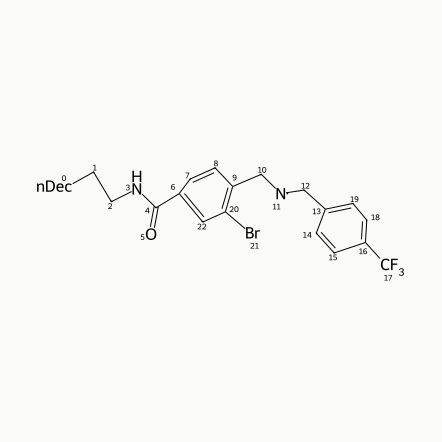 CCCCCCCCCCCCNC(=O)c1ccc(C[N]Cc2ccc(C(F)(F)F)cc2)c(Br)c1